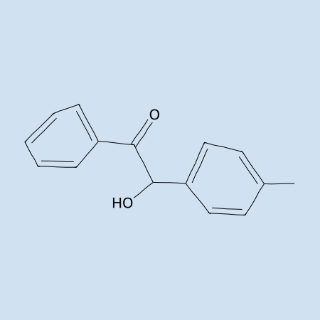 Cc1ccc(C(O)C(=O)c2ccccc2)cc1